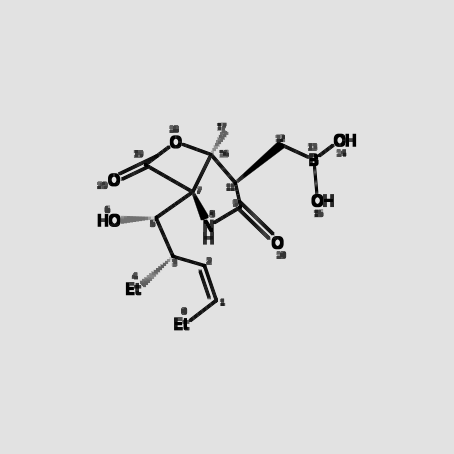 CC/C=C\[C@H](CC)[C@H](O)[C@@]12NC(=O)[C@H](CB(O)O)[C@]1(C)OC2=O